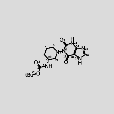 CC(C)(C)OC(=O)N[C@@H]1CCCN(n2c(=O)[nH]c3nc[nH]c3c2=O)C1